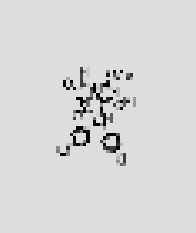 CCOc1nc(SC)ncc1C1=N[C@H](c2ccc(Cl)cc2)[C@H](c2ccc(Cl)cc2)N1C(=O)N1CCNC(=O)C1